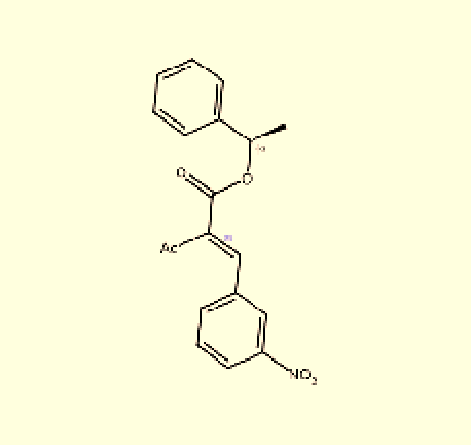 CC(=O)/C(=C\c1cccc([N+](=O)[O-])c1)C(=O)O[C@H](C)c1ccccc1